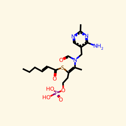 CCC/C=C/C(=O)S/C(CCOP(=O)(O)O)=C(/C)N(C=O)Cc1cnc(C)nc1N